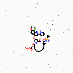 COc1ccc2c(O[C@@H]3C[C@H]4C(=O)N[C@]5(C(=O)NS(=O)(=O)C6CC6)CC5C=CCCCCC[C@H](CC(=O)O)C(=O)N4C3)cc(-c3ccccn3)nc2c1Cl